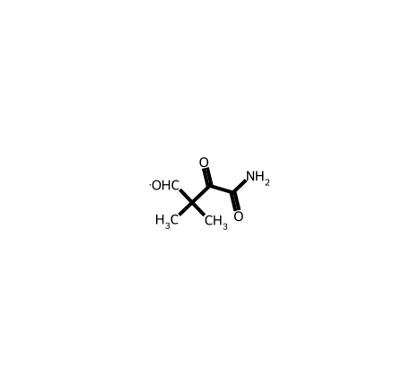 CC(C)([C]=O)C(=O)C(N)=O